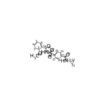 COC1CC=CC=C1C(=O)NS(=O)(=O)c1ccc(C(=O)NC2CC2)cc1